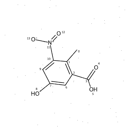 Cc1c(C(=O)O)cc(O)cc1[N+](=O)[O-]